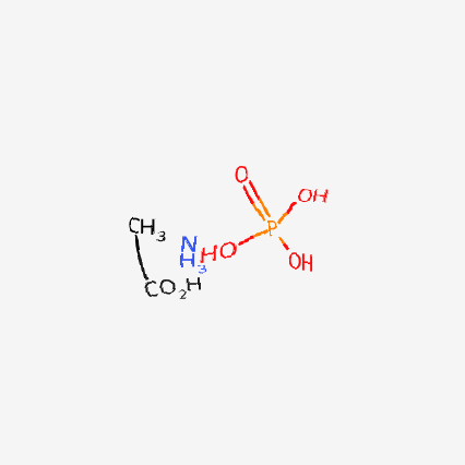 CC(=O)O.N.O=P(O)(O)O